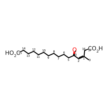 CC(=CC(=O)CCCCCCCCCCC(=O)O)CC(=O)O